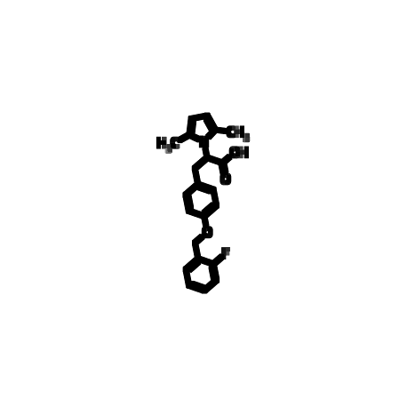 Cc1ccc(C)n1C(Cc1ccc(OCc2ccccc2F)cc1)C(=O)O